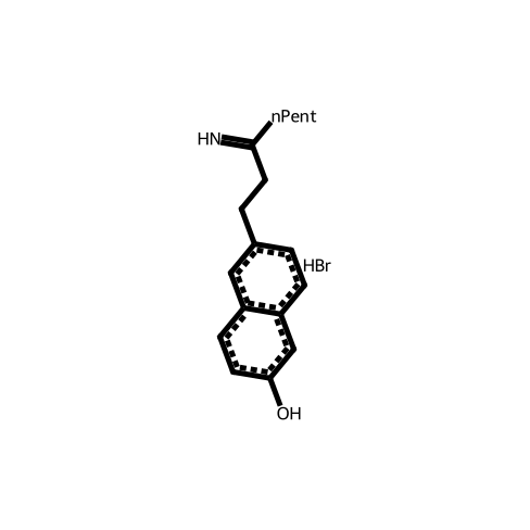 Br.CCCCCC(=N)CCc1ccc2cc(O)ccc2c1